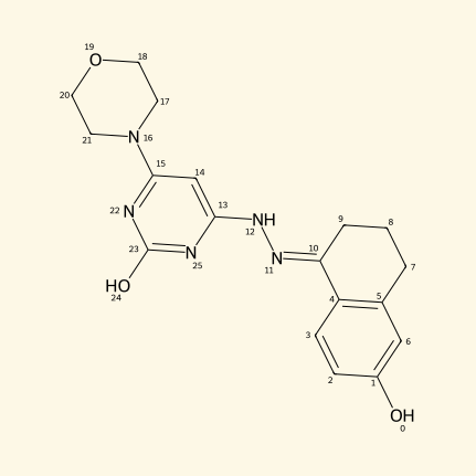 Oc1ccc2c(c1)CCC/C2=N\Nc1cc(N2CCOCC2)nc(O)n1